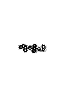 c1ccc2c(-c3ccc(-c4c5ccccc5c(-c5ccc(-c6cc7ccc8ccccc8c7c7ccccc67)cc5)c5ccccc45)cc3)cccc2c1